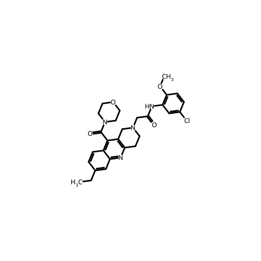 CCc1ccc2c(C(=O)N3CCOCC3)c3c(nc2c1)CCN(CC(=O)Nc1cc(Cl)ccc1OC)C3